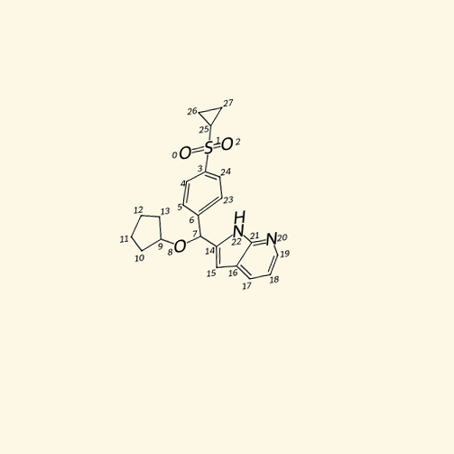 O=S(=O)(c1ccc(C(OC2CCCC2)c2cc3cccnc3[nH]2)cc1)C1CC1